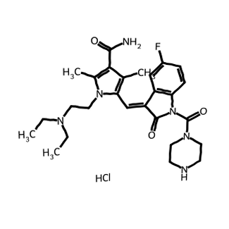 CCN(CC)CCn1c(C)c(C(N)=O)c(C)c1C=C1C(=O)N(C(=O)N2CCNCC2)c2ccc(F)cc21.Cl